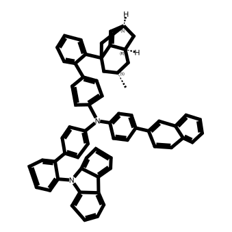 C[C@H]1C[C@@H]2C[C@@H]3C=C2C(c2ccccc2-c2ccc(N(c4ccc(-c5ccc6ccccc6c5)cc4)c4ccc(-c5ccccc5-n5c6ccccc6c6ccccc65)cc4)cc2)(C1)C3